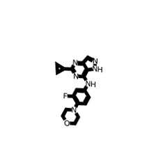 Fc1cc(Nc2nc(C3CC3)nc3cn[nH]c23)ccc1N1CCOCC1